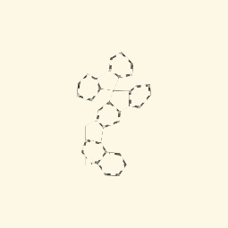 c1ccc2c(c1)-c1ccccc1C21c2ccccc2-c2cc3c(cc21)Cc1cnc2ccccc2c1-3